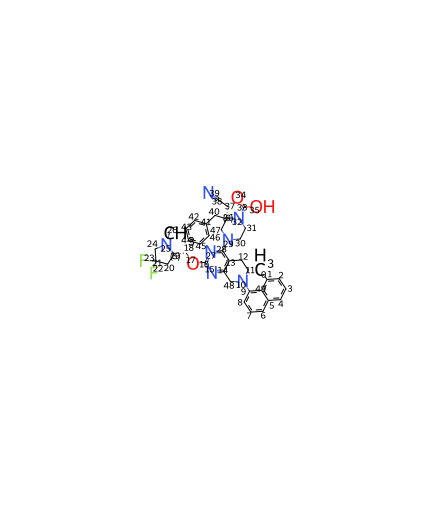 Cc1cccc2cccc(N3CCc4c(nc(OC[C@@H]5CC(F)(F)CN5C)nc4N4CCN(C(=O)O)[C@](CC#N)(Cc5ccccc5)C4)C3)c12